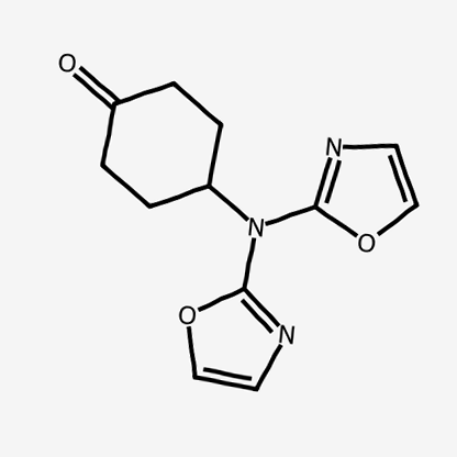 O=C1CCC(N(c2ncco2)c2ncco2)CC1